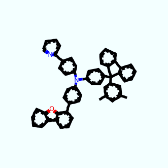 Cc1cc(C)cc(C2(c3ccc(N(c4ccc(-c5ccccn5)cc4)c4ccc(-c5cccc6c5oc5ccccc56)cc4)cc3)c3ccccc3-c3ccccc32)c1